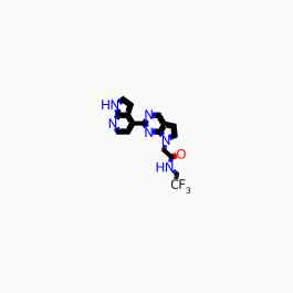 O=C(Cn1ccc2cnc(-c3ccnc4[nH]ccc34)nc21)NCC(F)(F)F